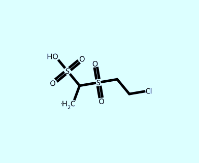 [CH2]C(S(=O)(=O)O)S(=O)(=O)CCCl